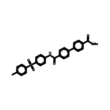 CNC(=O)c1ccc(-c2ccc(C(=O)Nc3ccc(S(=O)(=O)c4ccc(C)cc4)cc3)cc2)cc1